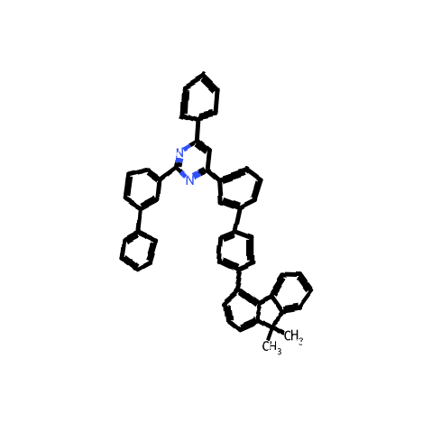 CC1(C)c2ccccc2-c2c(-c3ccc(-c4cccc(-c5cc(-c6ccccc6)nc(-c6cccc(-c7ccccc7)c6)n5)c4)cc3)cccc21